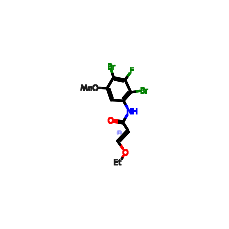 CCO/C=C/C(=O)Nc1cc(OC)c(Br)c(F)c1Br